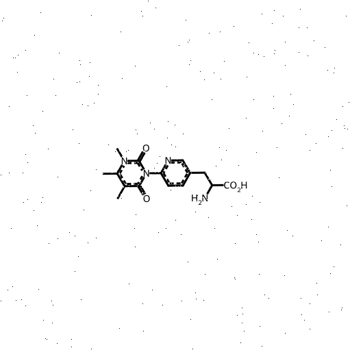 Cc1c(C)n(C)c(=O)n(-c2ccc(CC(N)C(=O)O)cn2)c1=O